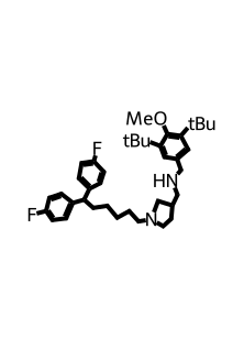 COc1c(C(C)(C)C)cc(CNCC2CCN(CCCCCC(c3ccc(F)cc3)c3ccc(F)cc3)C2)cc1C(C)(C)C